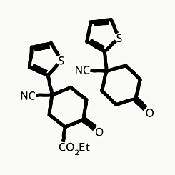 CCOC(=O)C1CC(C#N)(c2cccs2)CCC1=O.N#CC1(c2cccs2)CCC(=O)CC1